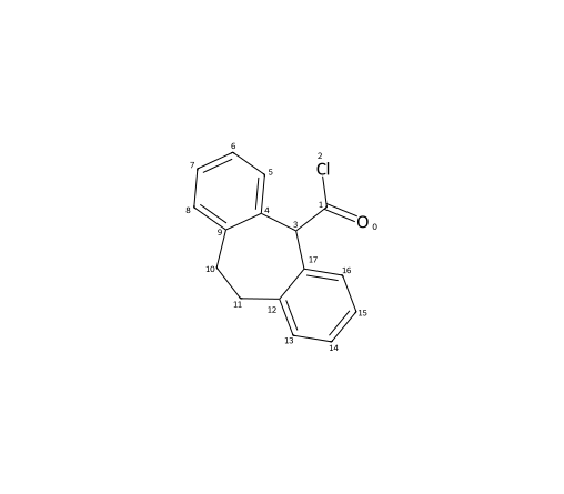 O=C(Cl)C1c2ccccc2CCc2ccccc21